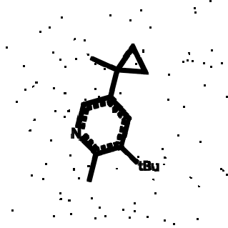 Cc1ncc(C2(C)CC2)cc1C(C)(C)C